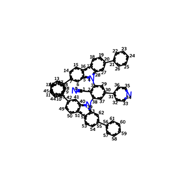 N#Cc1c(-n2c3cc(-c4ccccc4)ccc3c3ccc(-c4ccccc4)cc32)cc(-c2ccncc2)cc1-n1c2cc(-c3ccccc3)ccc2c2ccc(-c3ccccc3)cc21